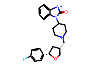 O=c1[nH]c2ccccc2n1C1CCN(C[C@@H]2CO[C@H](c3ccc(F)cc3)C2)CC1